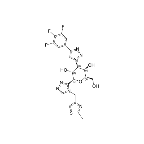 Cc1nc(Cn2cnnc2[C@@H]2O[C@H](CO)[C@H](O)[C@H](n3cc(-c4cc(F)c(F)c(F)c4)nn3)[C@H]2O)cs1